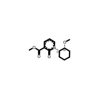 COC(=O)c1cccn([C@H]2CCCC[C@H]2OC)c1=O